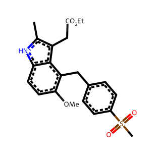 CCOC(=O)Cc1c(C)[nH]c2ccc(OC)c(Cc3ccc(S(C)(=O)=O)cc3)c12